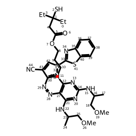 CCC(S)(CC)CC(=O)OCCCNc1nc(NC(C)COC)nc(NC(C)COC)c1/N=N\c1nn(-c2nc3ccccc3s2)cc1C#N